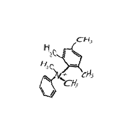 Cc1cc(C)c([N+](C)(C)c2ccccc2)c(C)c1